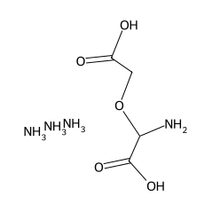 N.N.N.NC(OCC(=O)O)C(=O)O